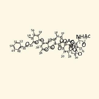 CC(=O)NC1[C@H](C)OC2COC(C)(C)O[C@H]2[C@@H]1O[C@@H]1OC(C)[C@H](C)[C@H](O[C@@H]2OC(C)[C@H](C)[C@H](C)C2O[C@@H]2OC(C)[C@H](C)[C@H](O[C@H]3O[C@@H](COCc4ccccc4)[C@@H](C)C(C)C3C)C2C)C1OC(C)=O